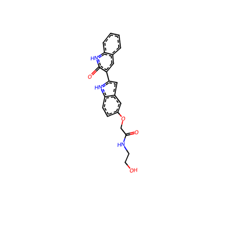 O=C(COc1ccc2[nH]c(-c3cc4ccccc4[nH]c3=O)cc2c1)NCCO